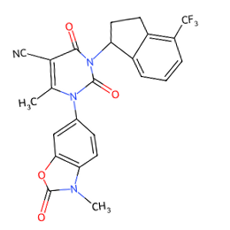 Cc1c(C#N)c(=O)n(C2CCc3c2cccc3C(F)(F)F)c(=O)n1-c1ccc2c(c1)oc(=O)n2C